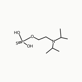 CC(C)N(CCOP(O)(O)=S)C(C)C